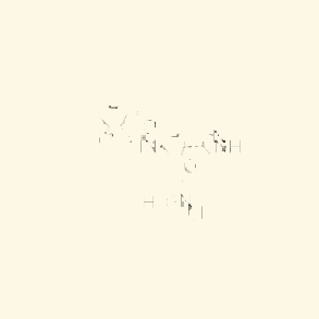 CN(C)CCOc1cc(NC(=O)Cc2ccccc2Cl)ccc1-c1cn[nH]c1